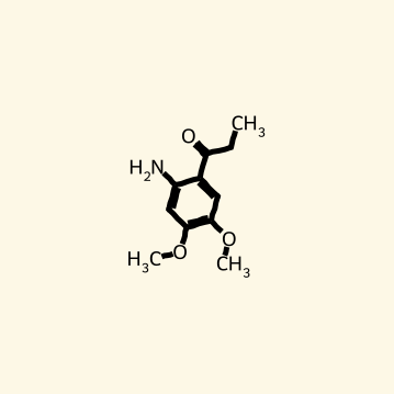 CCC(=O)c1cc(OC)c(OC)cc1N